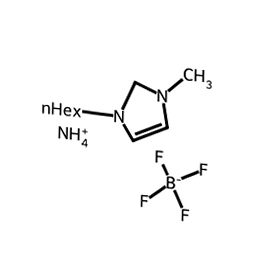 CCCCCCN1C=CN(C)C1.F[B-](F)(F)F.[NH4+]